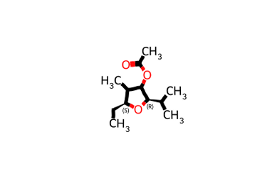 CC[C@@H]1O[C@H](C(C)C)C(OC(C)=O)C1C